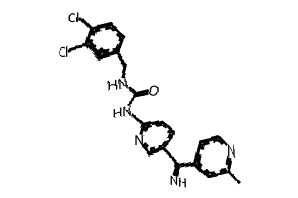 Cc1cc(C(=N)c2ccc(NC(=O)NCc3ccc(Cl)c(Cl)c3)nc2)ccn1